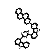 c1ccc2c(c1)ccc1c3ccc(-c4ccc5oc6cccc(-c7ncnc(-c8cccc9oc%10ccccc%10c89)n7)c6c5c4)cc3ccc21